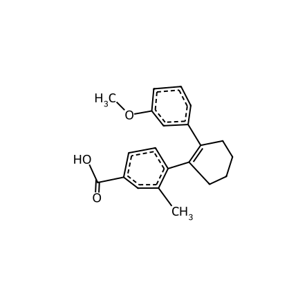 COc1cccc(C2=C(c3ccc(C(=O)O)cc3C)CCCC2)c1